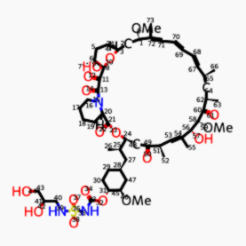 CO[C@H]1C[C@@H]2CC[C@@H](C)[C@@](O)(O2)C(=O)C(=O)N2CCCC[C@H]2C(=O)O[C@H]([C@H](C)C[C@@H]2CC[C@@H](OC(=O)NS(=O)(=O)NCC(O)CO)[C@H](OC)C2)CC(=O)[C@H](C)/C=C(\C)[C@@H](O)[C@@H](OC)C(=O)[C@H](C)C[C@H](C)/C=C/C=C/C=C/1C